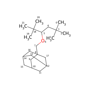 CC(C)(C)CC(OCC12CC3CC(CC(C3)C1)C2)C(C)(C)C